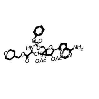 CC(=O)O[C@H]1[C@H](c2ccc3c(N)ncnn23)O[C@@]2(CO[P@@](=O)(N[C@@H](C)C(=O)OCC3CCOCC3)Oc3ccccc3)C[C@]12OC(C)=O